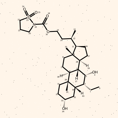 CC[C@H]1[C@@H](O)[C@@H]2[C@H](CC[C@]3(C)[C@@H]([C@H](C)CCOC(=O)N4CCCS4(=O)=O)CC[C@@H]23)[C@@]2(C)CC[C@@H](O)C[C@@H]12